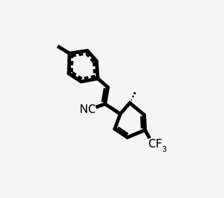 Cc1ccc(/C=C(\C#N)C2C=CC(C(F)(F)F)=C[C@H]2C)cc1